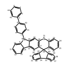 c1ccc(-c2ccc(-n3c4ccccc4c4cc5c(cc43)Sc3ccccc3C53c4ccccc4-c4ccccc43)cc2)cc1